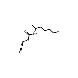 CCCCCC(C)NC(=O)OC=C=O